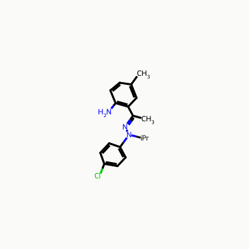 C/C(=N\N(c1ccc(Cl)cc1)C(C)C)c1cc(C)ccc1N